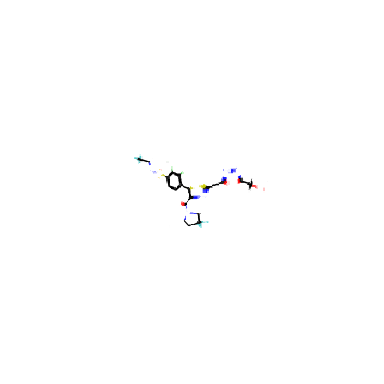 C[C@H](NS(=O)(=O)c1ccc(-c2sc(-c3nnc(C(C)(C)O)o3)nc2C(=O)N2CC(F)(F)C[C@@H]2C)c(Cl)c1Cl)C(F)(F)F